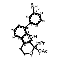 CCCC1(OC(C)=O)OCCc2c1[nH]c1c(-c3cccc(N)c3)cccc21